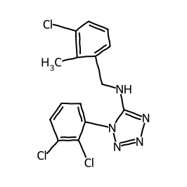 Cc1c(Cl)cccc1CNc1nnnn1-c1cccc(Cl)c1Cl